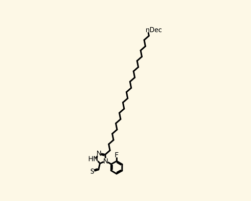 CCCCCCCCCCCCCCCCCCCCCCCCCCCCCCCCCC1=NNC(C=S)N1c1ccccc1F